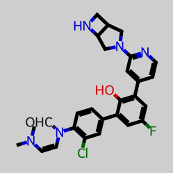 CN(C)/C=C\N(C=O)c1ccc(-c2cc(F)cc(-c3ccnc(N4CC5CNC5C4)c3)c2O)cc1Cl